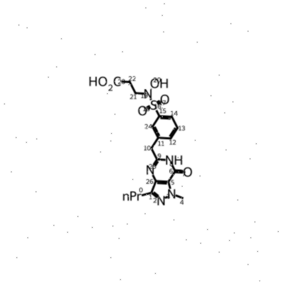 CCCc1nn(C)c2c(=O)[nH]c(Cc3cccc(S(=O)(=O)N(O)CCC(=O)O)c3)nc12